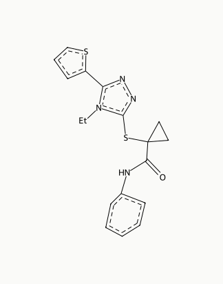 CCn1c(SC2(C(=O)Nc3ccccc3)CC2)nnc1-c1cccs1